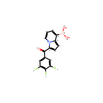 O=C(c1cc(F)c(F)c(F)c1)c1ccc2c(B(O)O)cccn12